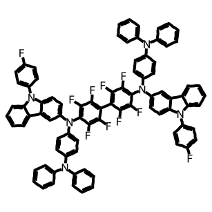 Fc1ccc(-n2c3ccccc3c3cc(N(c4ccc(N(c5ccccc5)c5ccccc5)cc4)c4c(F)c(F)c(-c5c(F)c(F)c(N(c6ccc(N(c7ccccc7)c7ccccc7)cc6)c6ccc7c(c6)c6ccccc6n7-c6ccc(F)cc6)c(F)c5F)c(F)c4F)ccc32)cc1